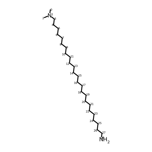 CN(C)CCCCCCCCCCCCCCCCCCCCCCCCCN